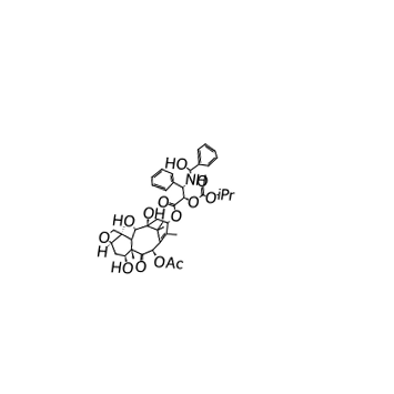 CC(=O)O[C@H]1C(=O)[C@@]2(C)C([C@H](O)[C@]3(O)C[C@H](OC(=O)[C@H](OC(=O)OC(C)C)[C@@H](NC(O)c4ccccc4)c4ccccc4)C(C)=C1C3(C)C)[C@]1(C)CO[C@@H]1C[C@@H]2O